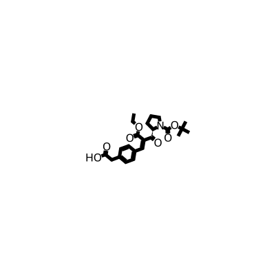 CCOC(=O)/C(=C\c1ccc(CC(=O)O)cc1)C(=O)[C@@H]1CCCN1C(=O)OC(C)(C)C